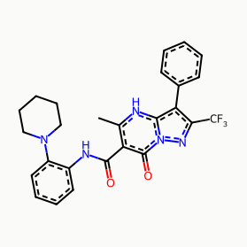 Cc1[nH]c2c(-c3ccccc3)c(C(F)(F)F)nn2c(=O)c1C(=O)Nc1ccccc1N1CCCCC1